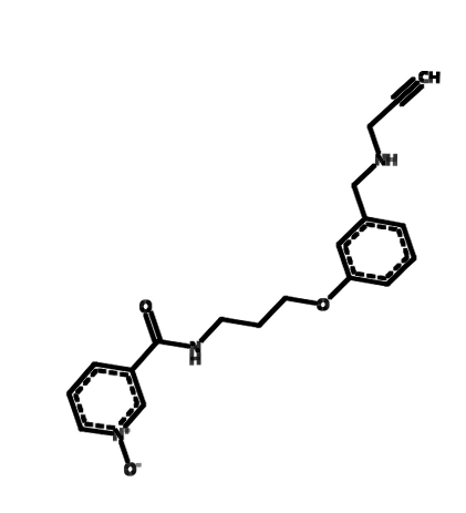 C#CCNCc1cccc(OCCCNC(=O)c2ccc[n+]([O-])c2)c1